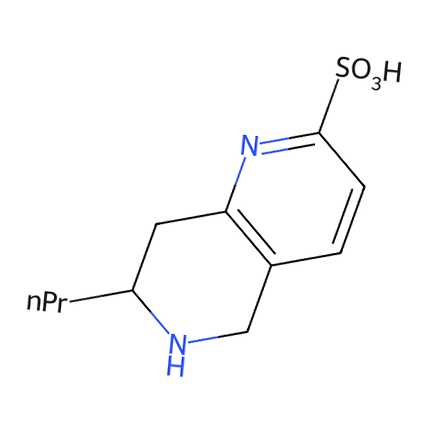 CCCC1Cc2nc(S(=O)(=O)O)ccc2CN1